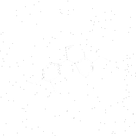 COc1ccc(C([C]=O)c2cccc(OC)c2OC)cc1OC